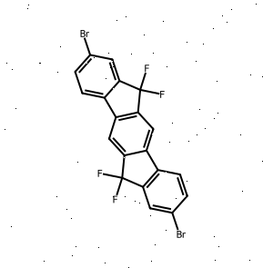 FC1(F)c2cc(Br)ccc2-c2cc3c(cc21)-c1ccc(Br)cc1C3(F)F